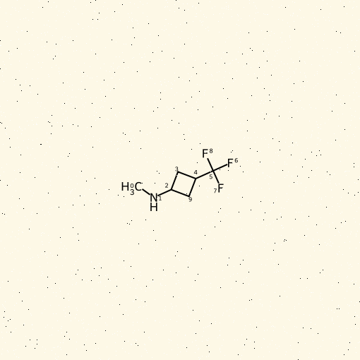 CNC1CC(C(F)(F)F)C1